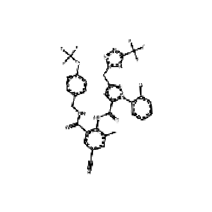 Cc1cc(C#N)cc(C(=O)NCc2ccc(OC(F)(F)F)cc2)c1NC(=O)c1cc(Cn2nnc(C(F)(F)F)n2)nn1-c1ccccc1Cl